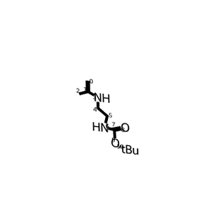 C=C(C)NCCNC(=O)OC(C)(C)C